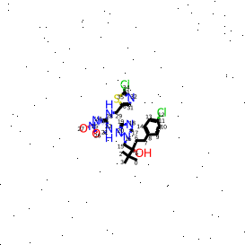 CC(C)(C)C(O)(CCc1ccc(Cl)cc1)Cn1cncn1.CN/C(=N\[N+](=O)[O-])NCc1cnc(Cl)s1